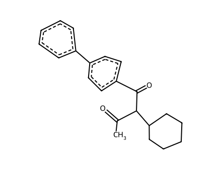 CC(=O)C(C(=O)c1ccc(-c2ccccc2)cc1)C1CCCCC1